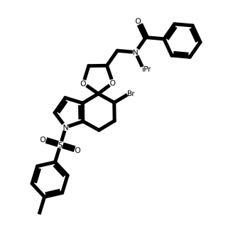 Cc1ccc(S(=O)(=O)n2ccc3c2CCC(Br)C32OCC(CN(C(=O)c3ccccc3)C(C)C)O2)cc1